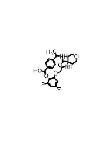 CC(NC(=O)C1(NCCOc2cc(F)cc(F)c2)CCOCC1)c1ccc(C(=O)O)cc1